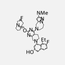 CCc1c(F)ccc2cc(O)cc(N3CCc4c(nc(OC[C@@]56CCCN5C[C@H](F)C6)nc4N4CCCn5nc(NC)cc5C4)C3)c12